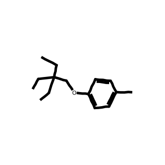 CCC(CC)(CC)COc1ccc(C)cc1